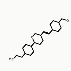 CCCC1CCC(C2CCC(/C=C/C3CCC(CC)CC3)CO2)CC1